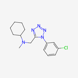 CN(Cc1nnnn1-c1cccc(Cl)c1)C1CCCCC1